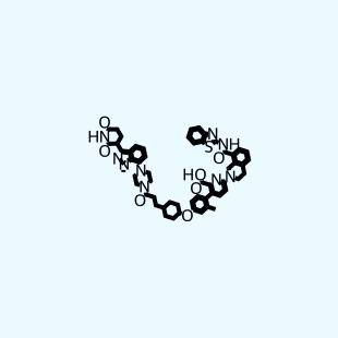 Cc1cc(OC2CCC(CCC(=O)N3CCN(c4cccc5c(C6CCC(=O)NC6=O)nn(C)c45)CC3)CC2)ccc1-c1ccc(N2CCc3cccc(C(=O)Nc4nc5ccccc5s4)c3C2)nc1C(=O)O